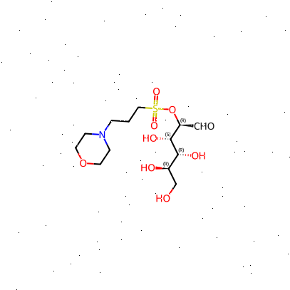 O=C[C@H](OS(=O)(=O)CCCN1CCOCC1)[C@@H](O)[C@H](O)[C@H](O)CO